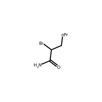 CCCCC(Br)C(N)=O